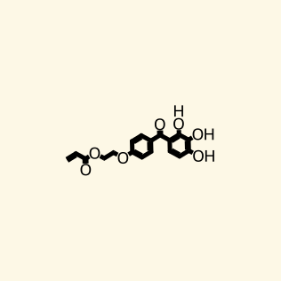 C=CC(=O)OCCOc1ccc(C(=O)c2ccc(O)c(O)c2O)cc1